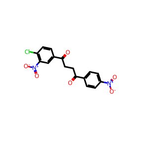 O=C(CCC(=O)c1ccc(Cl)c([N+](=O)[O-])c1)c1ccc([N+](=O)[O-])cc1